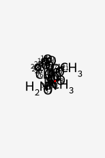 CCC(=O)O[C@@H]1[C@H](OC(=O)CC)[C@@H](CO[P@@]2(=O)OCC[C@@H](c3cccc(Cl)c3)O2)O[C@H]1n1cnc(C(N)=O)n1